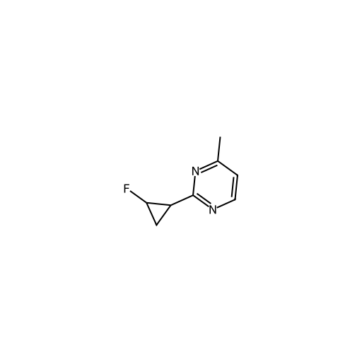 Cc1ccnc(C2CC2F)n1